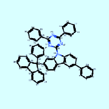 c1ccc(-c2ccc3c(c2)c2ccc(C4(c5ccccc5)c5ccccc5-c5ccccc54)cc2n3-c2nc(-c3ccccc3)nc(-c3ccccc3)n2)cc1